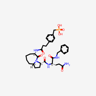 NC(=O)CC[C@H](NC(=O)[C@@H]1CC[C@@H]2CCCC[C@H](NC(=O)CCc3ccc(CP(=O)(O)O)cc3)C(=O)N21)C(=O)NCc1ccccc1